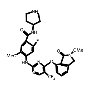 COc1cc(C(=O)NC2CCNCC2)c(F)cc1Nc1ncc(C(F)(F)F)c(Oc2cccc3c2C(=O)N(OC)C3)n1